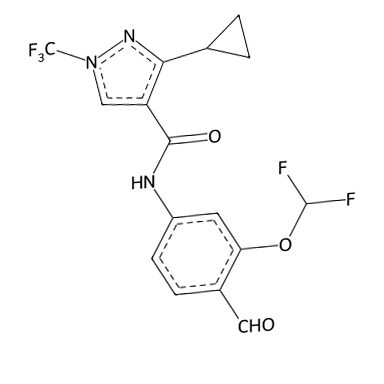 O=Cc1ccc(NC(=O)c2cn(C(F)(F)F)nc2C2CC2)cc1OC(F)F